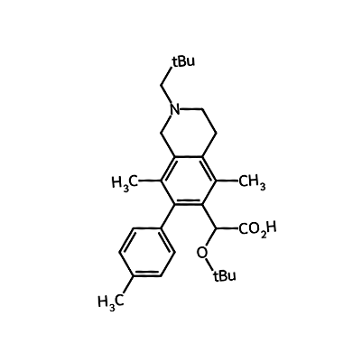 Cc1ccc(-c2c(C)c3c(c(C)c2C(OC(C)(C)C)C(=O)O)CCN(CC(C)(C)C)C3)cc1